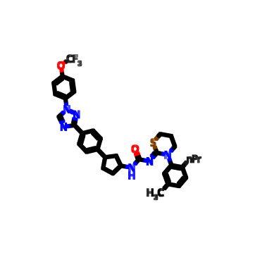 CCCc1ccc(C)cc1N1CCCS/C1=N\C(=O)NC1CCC(c2ccc(-c3ncn(-c4ccc(OC(F)(F)F)cc4)n3)cc2)C1